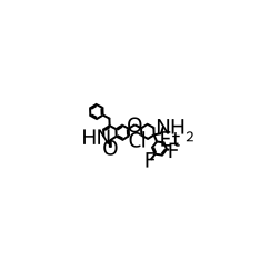 CCC(N)C1(C2C=C(F)C=C(F)C2)CCC(Oc2cc3c(Cc4ccccc4)c[nH]c(=O)c3cc2Cl)CC1